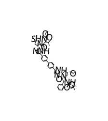 COC[C@H]1C[C@@H](c2ncc(-c3ccc(-c4ccc(-c5cnc([C@@H]6C[C@H](SC)CN6C(=O)[C@@H](NC(=O)OC)C(C)C)[nH]5)cc4)cc3)[nH]2)N(C(=O)[C@H](NC(=O)OC(C)(C)C)c2ccccc2)C1